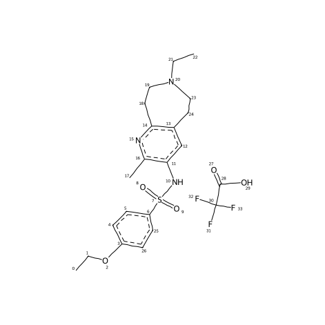 CCOc1ccc(S(=O)(=O)Nc2cc3c(nc2C)CCN(CC)CC3)cc1.O=C(O)C(F)(F)F